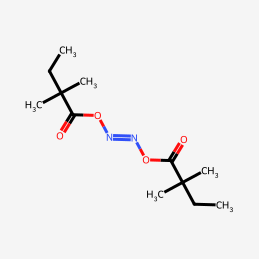 CCC(C)(C)C(=O)ON=NOC(=O)C(C)(C)CC